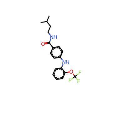 CC(C)CCNC(=O)c1ccc(Nc2ccccc2OC(F)(F)F)cc1